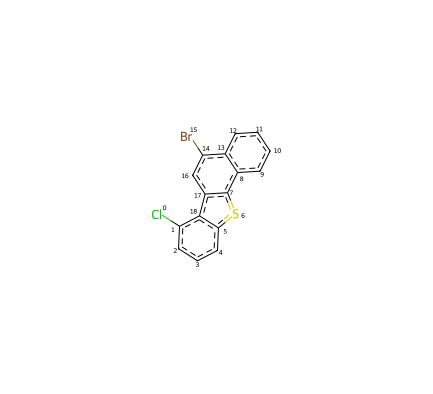 Clc1cccc2sc3c4ccccc4c(Br)cc3c12